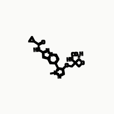 Cn1ncc(OCC2(NC(=O)O)COC2)c1-c1ccn2nc(NC(=O)C3CC3)cc2c1